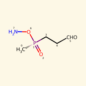 C[P@@](=O)(CCC=O)ON